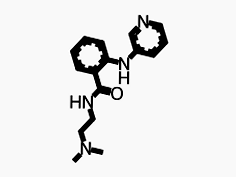 CN(C)CCNC(=O)c1ccccc1Nc1cccnc1